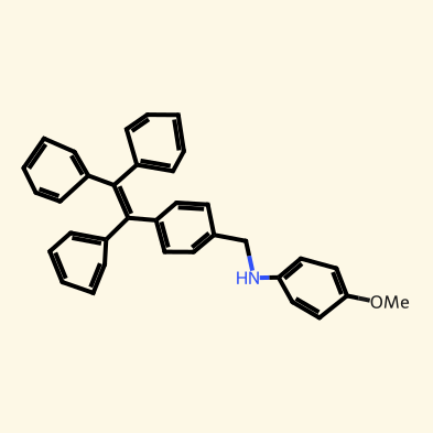 COc1ccc(NCc2ccc(C(=C(c3ccccc3)c3ccccc3)c3ccccc3)cc2)cc1